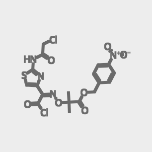 CC(C)(ON=C(C(=O)Cl)c1csc(NC(=O)CCl)n1)C(=O)OCc1ccc([N+](=O)[O-])cc1